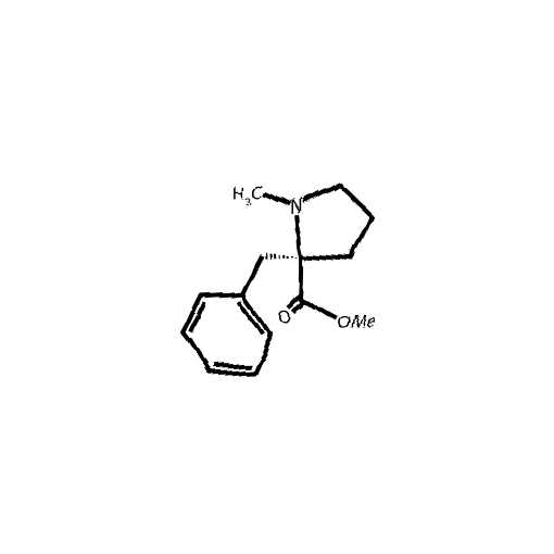 COC(=O)[C@]1(Cc2ccccc2)CCCN1C